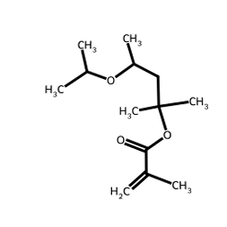 C=C(C)C(=O)OC(C)(C)CC(C)OC(C)C